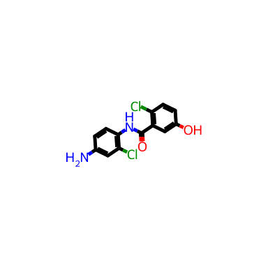 Nc1ccc(NC(=O)c2cc(O)ccc2Cl)c(Cl)c1